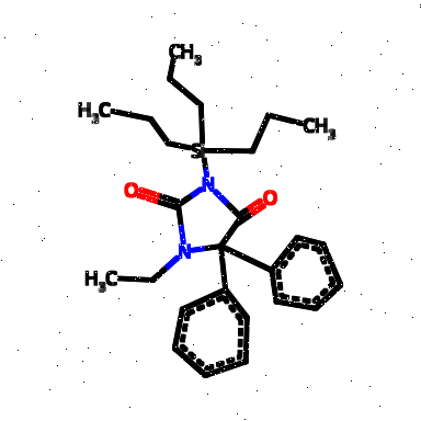 CCC[Si](CCC)(CCC)N1C(=O)N(CC)C(c2ccccc2)(c2ccccc2)C1=O